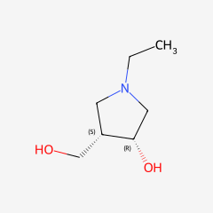 CCN1C[C@@H](CO)[C@@H](O)C1